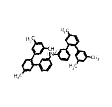 Cc1cc(C)cc(-c2ccc(C)cc2-c2cccc(Nc3cccc(-c4cc(C)ccc4-c4cc(C)cc(C)c4)c3)c2)c1